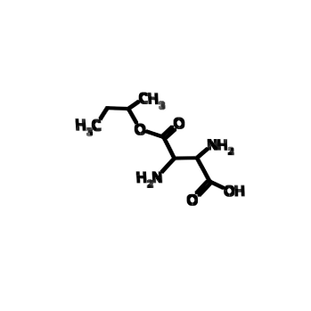 CCC(C)OC(=O)C(N)C(N)C(=O)O